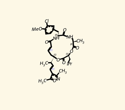 COc1ccc(C[C@H]2NC(=O)/C=C/C[C@@H](C(C)/C=C/c3c(C)noc3C)OC(=O)[C@H](CC(C)C)OC(=O)[C@H](C)CNC2=O)cc1Cl